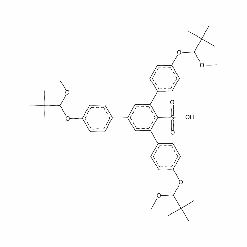 COC(Oc1ccc(-c2cc(-c3ccc(OC(OC)C(C)(C)C)cc3)c(S(=O)(=O)O)c(-c3ccc(OC(OC)C(C)(C)C)cc3)c2)cc1)C(C)(C)C